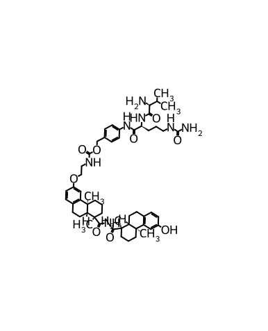 CC(C)[C@H](N)C(=O)N[C@@H](CCCNC(N)=O)C(=O)Nc1ccc(COC(=O)NCCOc2ccc3c(c2)[C@@]2(C)CCC[C@](C)(C(=O)NC(=O)[C@@]4(C)CCC[C@]5(C)c6cc(O)ccc6CC[C@@H]45)[C@@H]2CC3)cc1